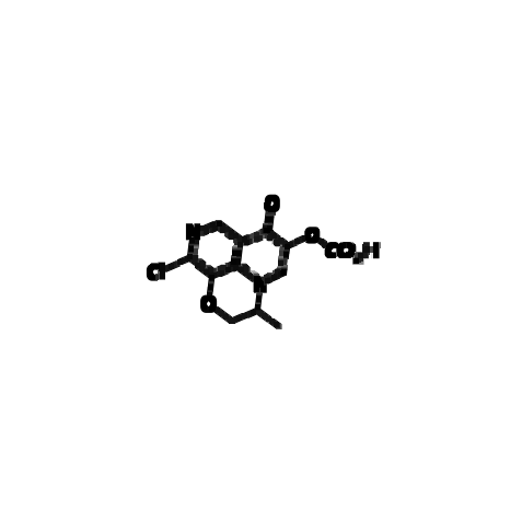 CC1COc2c(Cl)ncc3c(=O)c(OC(=O)O)cn1c23